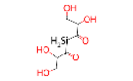 O=C([SiH2]C(=O)C(O)CO)C(O)CO